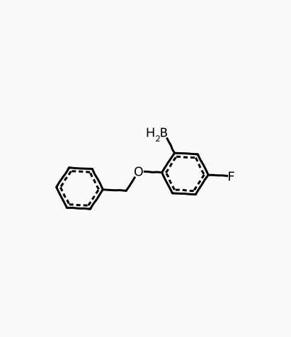 Bc1cc(F)ccc1OCc1ccccc1